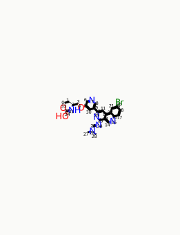 CC[C@H](COc1cncc(-c2cc3c(cnc4ccc(Br)cc43)c(/N=C/N(C)C)n2)c1)NC(=O)O